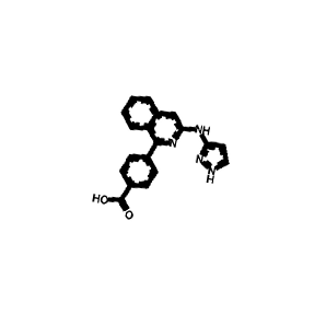 O=C(O)c1ccc(-c2nc(Nc3cc[nH]n3)cc3ccccc23)cc1